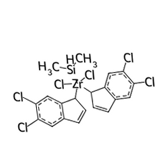 C[SiH](C)[Zr]([Cl])([Cl])([CH]1C=Cc2cc(Cl)c(Cl)cc21)[CH]1C=Cc2cc(Cl)c(Cl)cc21